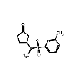 Cc1cccc(S(=O)(=O)N(C)C2CCC(=O)C2)c1